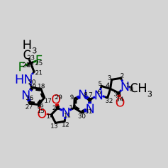 CN1CCC2(CN(c3ncc(N4CC[C@@H](Oc5ccc(NCC(C)(F)F)nc5)C4=O)cn3)C2)C1=O